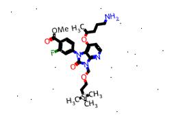 COC(=O)c1ccc(-n2c(=O)n(COCC[Si](C)(C)C)c3nccc(OC(C)CCCN)c32)cc1F